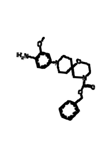 COc1cc(N2CCC3(CC2)CN(C(=O)OCc2ccccc2)CCO3)ccc1N